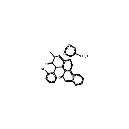 CC1C=c2ccc3c(c2C(c2ccccc2C#N)C1=O)C(=O)C=c1ccccc1=3.O=C(O)c1cncnn1